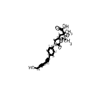 CC(CC1CN(c2ccc(C#CC#CCO)cc2)C(=O)O1)(C(=O)O)S(C)(=O)=O